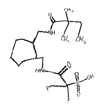 CCC(C)(C)C(=O)NCC1CCCC1CNC(=O)C(F)(F)S(=O)(=O)O